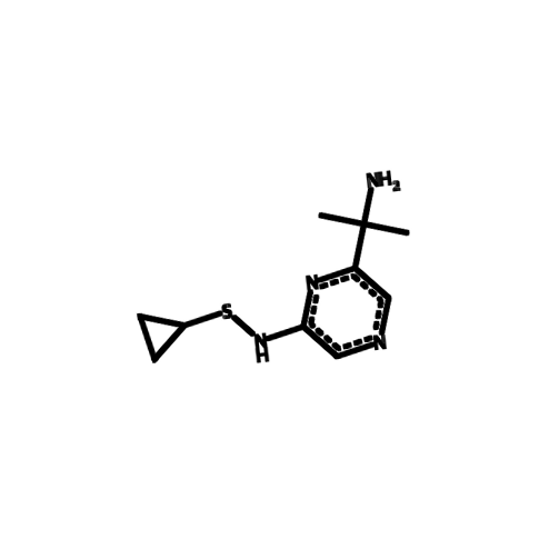 CC(C)(N)c1cncc(NSC2CC2)n1